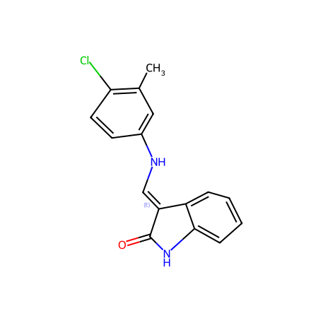 Cc1cc(N/C=C2/C(=O)Nc3ccccc32)ccc1Cl